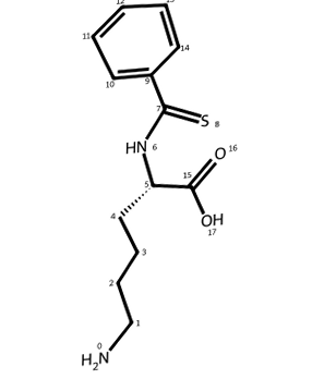 NCCCC[C@H](NC(=S)c1ccccc1)C(=O)O